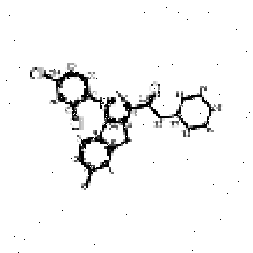 Cc1ccc2c(c1)Cc1c(C(=O)CC3CCCCC3)nn(-c3ccc(Cl)cc3Cl)c1-2